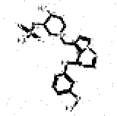 COc1cccc(Nc2ncnn3ccc(CN4CC[C@@H](C)C(NS(N)(=O)=O)C4)c23)c1